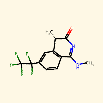 CNC1=NC(=O)[C@@H](C)c2cc(C(F)(F)C(F)(F)F)ccc21